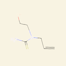 C=CCN(CCO)C(N)=S